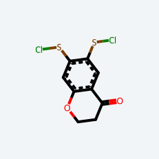 O=C1CCOc2cc(SCl)c(SCl)cc21